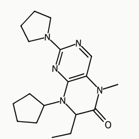 CCC1C(=O)N(C)c2cnc(N3CCCC3)nc2N1C1CCCC1